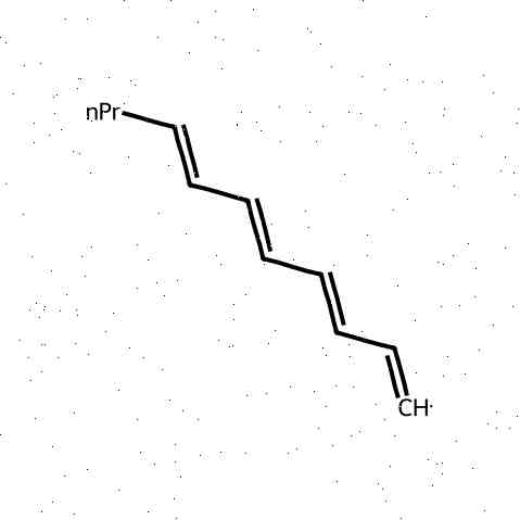 [CH]=C/C=C/C=C/C=C/CCC